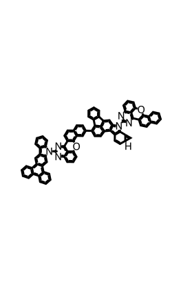 C1=C[C@@H]2C=C2c2c1c1c3ccc(-c4ccc5ccc6c(c5c4)Oc4cccc5nc(-n7c8ccccc8c8cc9c%10ccccc%10c%10ccccc%10c9cc87)nc-6c45)c4c3c(cc1n2-c1nc2c3c(cccc3n1)Oc1c-2ccc2ccccc12)-c1ccccc1-4